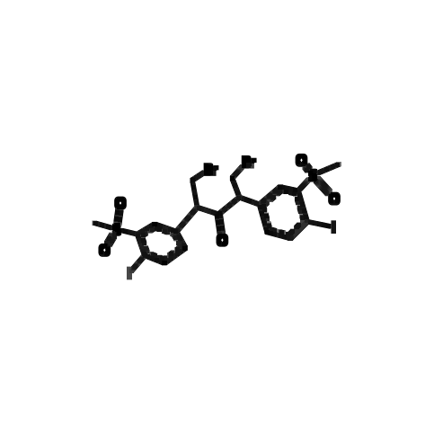 CS(=O)(=O)c1cc(C(CBr)C(=O)C(CBr)c2ccc(I)c(S(C)(=O)=O)c2)ccc1I